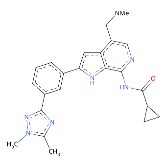 CNCc1cnc(NC(=O)C2CC2)c2[nH]c(-c3cccc(-c4nc(C)n(C)n4)c3)cc12